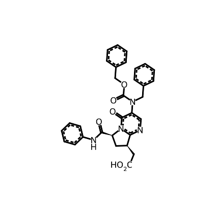 O=C(O)C[C@H]1C[C@@H](C(=O)Nc2ccccc2)n2c1ncc(N(Cc1ccccc1)C(=O)OCc1ccccc1)c2=O